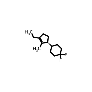 CCC1=C(C)[C@H](C2CCC(F)(F)CC2)CC1